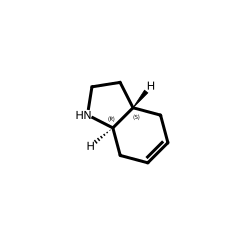 C1=CC[C@H]2NCC[C@@H]2C1